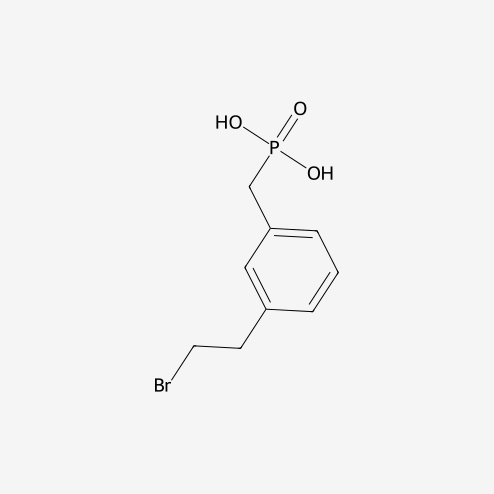 O=P(O)(O)Cc1cccc(CCBr)c1